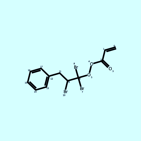 C=CC(=O)OOC(Br)(Br)C(Br)Cc1ccccc1